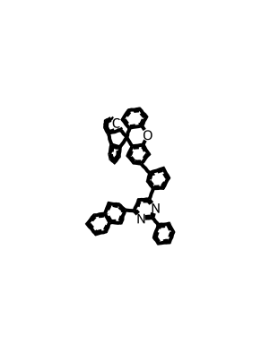 c1ccc(-c2nc(-c3cccc(-c4ccc5c(c4)Oc4ccccc4C54c5ccccc5-c5ccccc54)c3)cc(-c3ccc4ccccc4c3)n2)cc1